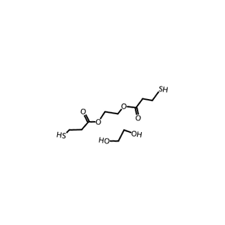 O=C(CCS)OCCOC(=O)CCS.OCCO